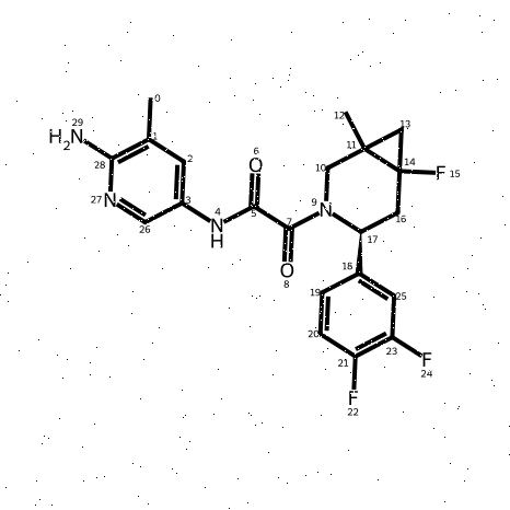 Cc1cc(NC(=O)C(=O)N2CC3(C)CC3(F)C[C@H]2c2ccc(F)c(F)c2)cnc1N